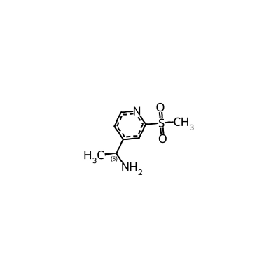 C[C@H](N)c1ccnc(S(C)(=O)=O)c1